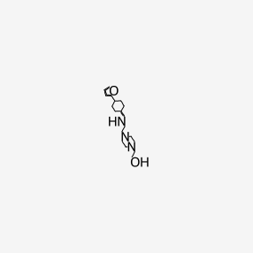 OCCN1CCN(CCNC=C2CCC(c3ccco3)CC2)CC1